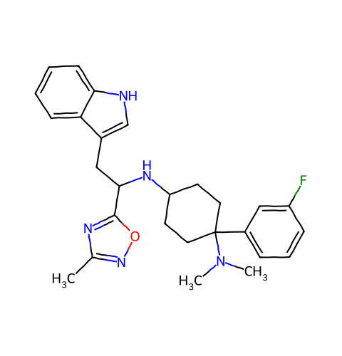 Cc1noc(C(Cc2c[nH]c3ccccc23)NC2CCC(c3cccc(F)c3)(N(C)C)CC2)n1